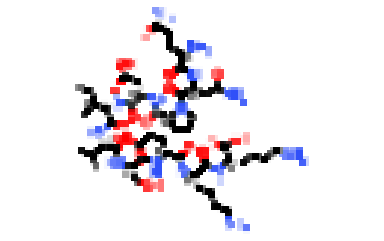 CC[C@H](C)[C@H](NC(=O)[C@H](CC(=O)O)NC(=O)[C@@H]1CCCN1C(=O)[C@H](CC(N)=O)NC(=O)[C@@H](N)CCC(N)=O)C(=O)N[C@H](C(=O)N[C@@H](CO)C(=O)N[C@@H](CCC(=O)O)C(=O)N[C@@H](CCCCN)C(=O)N[C@@H](CCCCN)C(=O)O)C(C)C